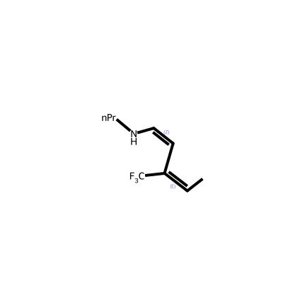 C/C=C(\C=C/NCCC)C(F)(F)F